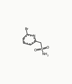 NS(=O)(=O)Cc1cccc(Br)n1